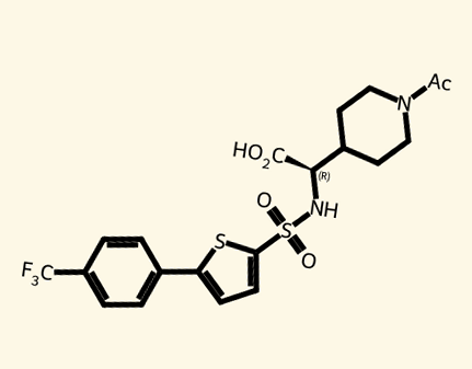 CC(=O)N1CCC([C@@H](NS(=O)(=O)c2ccc(-c3ccc(C(F)(F)F)cc3)s2)C(=O)O)CC1